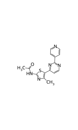 CC(=O)Nc1nc(C)c(-c2ccnc(-c3ccncc3)n2)s1